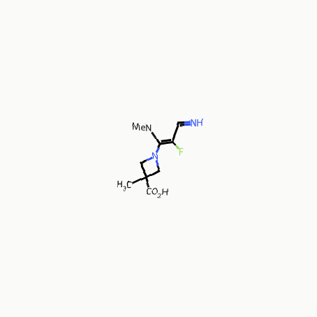 CN/C(=C(/F)C=N)N1CC(C)(C(=O)O)C1